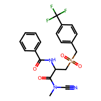 CN(C#N)C(=O)C(CS(=O)(=O)Cc1ccc(C(F)(F)F)cc1)NC(=O)c1ccccc1